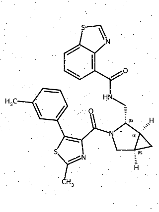 Cc1cccc(-c2sc(C)nc2C(=O)N2C[C@@H]3C[C@@H]3[C@H]2CNC(=O)c2cccc3scnc23)c1